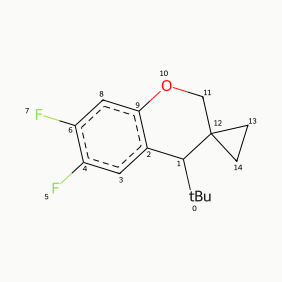 CC(C)(C)C1c2cc(F)c(F)cc2OCC12CC2